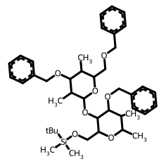 CC1OC(CO[Si](C)(C)C(C)(C)C)C(OC2OC(COCc3ccccc3)C(C)C(OCc3ccccc3)C2C)C(OCc2ccccc2)C1C